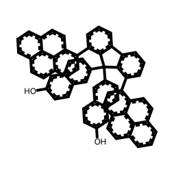 Oc1ccc2cc(C3(c4ccc5cc(O)ccc5c4)c4c(cccc4-c4ccc5ccc6cccc7ccc4c5c67)-c4cccc(-c5ccc6ccc7cccc8ccc5c6c78)c43)ccc2c1